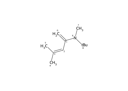 C=C(C=C(C)C)N(C)C(C)(C)C